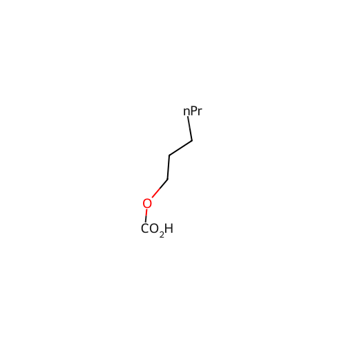 CCCCCCOC(=O)O